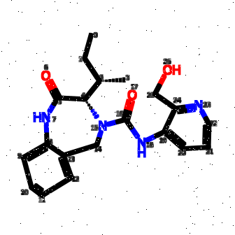 CC[C@H](C)[C@H]1C(=O)Nc2ccccc2CN1C(=O)Nc1cccnc1CO